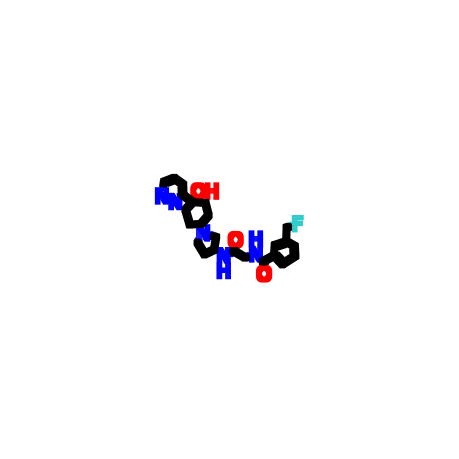 O=C(CNC(=O)c1cccc(CF)c1)N[C@@H]1CCN(C2CCC(O)(c3cccnn3)CC2)C1